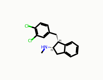 CN[C@H]1Cc2ccccc2[C@H]1Cc1ccc(Cl)c(Cl)c1